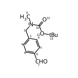 CN(Cc1ccc(C=O)cc1)C(=O)OC(C)(C)C